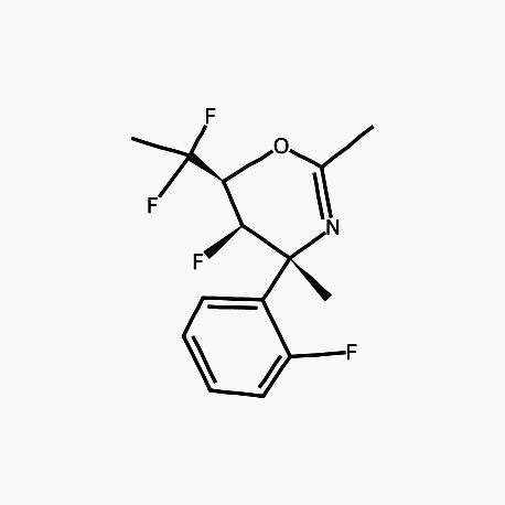 CC1=N[C@](C)(c2ccccc2F)[C@@H](F)[C@@H](C(C)(F)F)O1